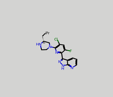 CC(C)C[C@@H]1CN(c2nc(-c3n[nH]c4ncccc34)c(F)cc2Cl)CCN1